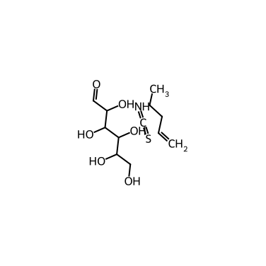 C=CCCC.N=C=S.O=CC(O)C(O)C(O)C(O)CO